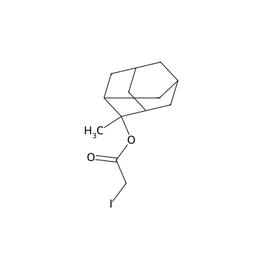 CC1(OC(=O)CI)C2CC3CC(C2)CC1C3